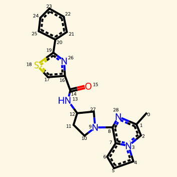 Cc1cn2cccc2c(N2CCC(NC(=O)c3csc(-c4ccccc4)n3)C2)n1